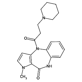 Cn1ccc2c1C(=O)Nc1ccccc1N2C(=O)CCN1CCCCC1